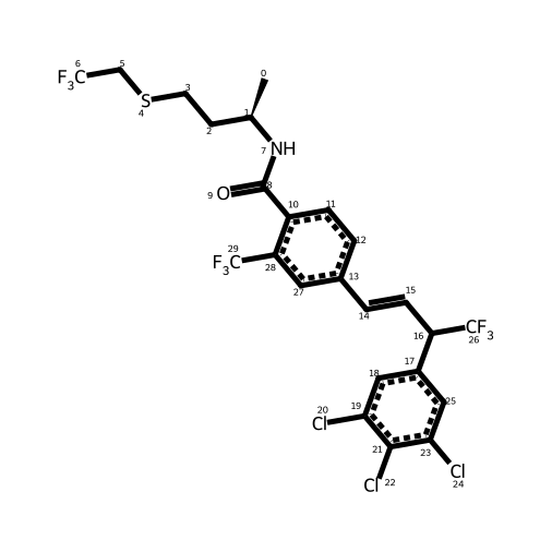 C[C@H](CCSCC(F)(F)F)NC(=O)c1ccc(/C=C/C(c2cc(Cl)c(Cl)c(Cl)c2)C(F)(F)F)cc1C(F)(F)F